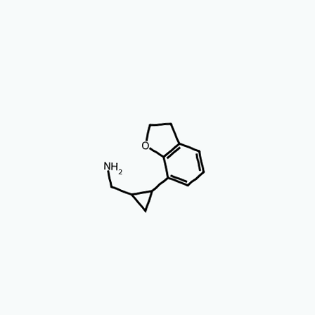 NCC1CC1c1cccc2c1OCC2